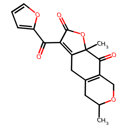 CC1CC2=C(CO1)C(=O)C1(C)OC(=O)C(C(=O)c3ccco3)=C1C2